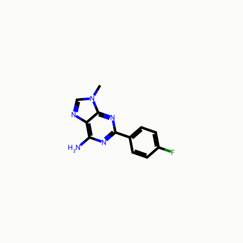 Cn1cnc2c(N)nc(-c3ccc(F)cc3)nc21